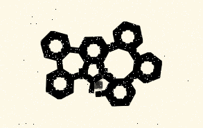 Cc1cccc2c3ccccc3c3ccccc3c3ccc4c5c3n(c12)[C@@H](C)N5c1ccccc1-c1ccccc1-4